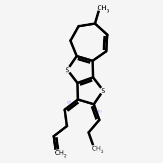 C=CC/C=c1\c(=C/CC)sc2c3c(sc12)CCC(C)C=C3